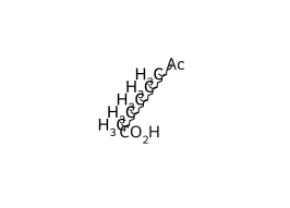 CC(=O)CC/C=C(\C)CC/C=C(\C)CC/C=C(\C)CC/C=C(\C)CC/C=C(\C)C(=O)O